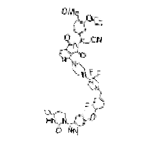 CCOc1cc([C@@H](CC#N)N2C(=O)c3ccnc(N4CCN([C@H]5CCN(Cc6ccc(Oc7cc8c(cc7F)c(N7CCC(=O)NC7=O)nn8C)cc6)CC5(F)F)CC4)c3C2=O)ccc1OC